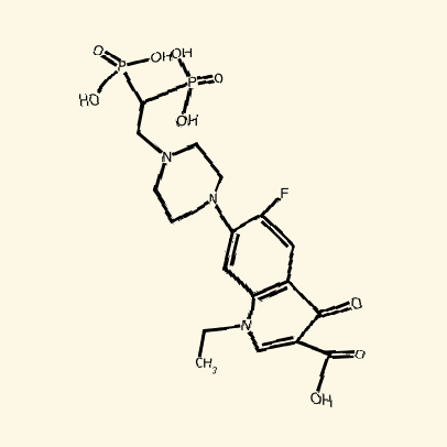 CCn1cc(C(=O)O)c(=O)c2cc(F)c(N3CCN(CC(P(=O)(O)O)P(=O)(O)O)CC3)cc21